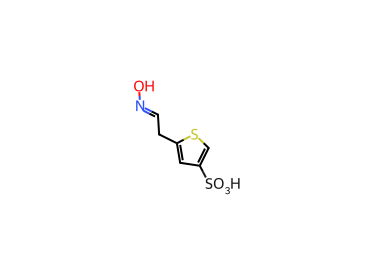 O=S(=O)(O)c1csc(CC=NO)c1